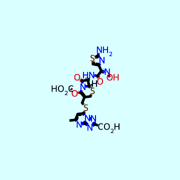 Cc1cc(SCC2=C(OC(=O)O)N3C(=O)[C@@H](NC(=O)/C(=N\O)c4csc(N)n4)[C@H]3SC2)n2nc(C(=O)O)nc2n1